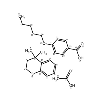 CC(=O)O.CC1(C)CCSc2ccccc21.CCCCCOc1ccc(C(=O)O)cc1